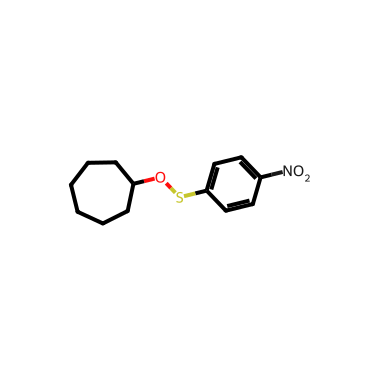 O=[N+]([O-])c1ccc(SOC2CCCCCC2)cc1